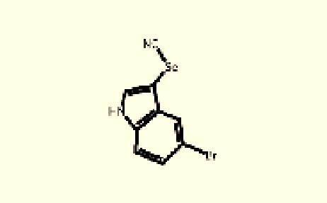 N#C[Se]c1c[nH]c2ccc(Br)cc12